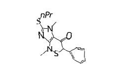 CCCSc1nc2c(n1C)C(=O)C(c1ccccc1)SN2C